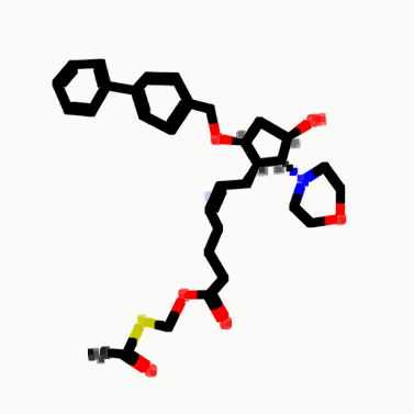 CC(=O)SCOC(=O)CCC/C=C\C[C@@H]1[C@@H](N2CCOCC2)[C@H](O)C[C@@H]1OCc1ccc(-c2ccccc2)cc1